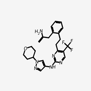 C=C(N)Cc1ccccc1CCc1nc(Nc2cnn(C3CCOCC3)c2)ncc1C(F)(F)F